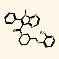 Cn1c(-c2ccccc2)c(C(=O)N2CCCC(COc3cccnc3C(F)(F)F)C2)c2nccnc21